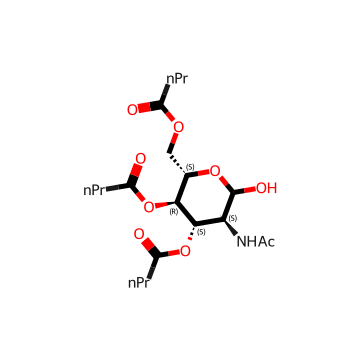 CCCC(=O)OC[C@@H]1OC(O)[C@@H](NC(C)=O)[C@H](OC(=O)CCC)[C@H]1OC(=O)CCC